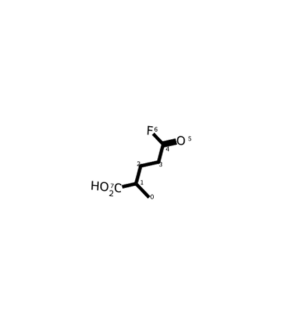 CC(CCC(=O)F)C(=O)O